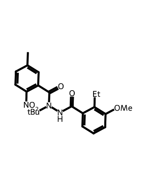 CCc1c(OC)cccc1C(=O)NN(C(=O)c1cc(C)ccc1[N+](=O)[O-])C(C)(C)C